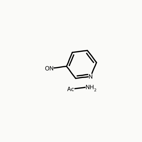 CC(N)=O.O=Nc1cccnc1